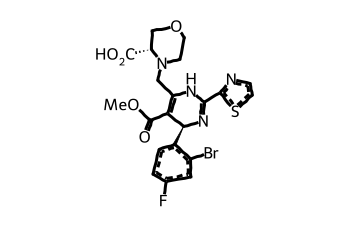 COC(=O)C1=C(CN2CCOC[C@H]2C(=O)O)NC(c2nccs2)=N[C@H]1c1ccc(F)cc1Br